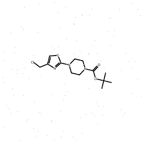 CC(C)(C)OC(=O)N1CCN(c2nc(CCl)cs2)CC1